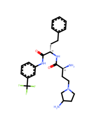 NC1CCN(CC[C@H](N)C(=O)N[C@@H](CCc2ccccc2)C(=O)Nc2cccc(C(F)(F)F)c2)C1